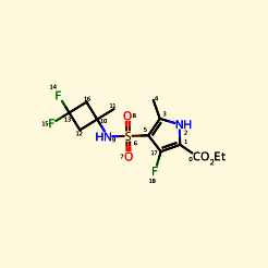 CCOC(=O)c1[nH]c(C)c(S(=O)(=O)NC2(C)CC(F)(F)C2)c1F